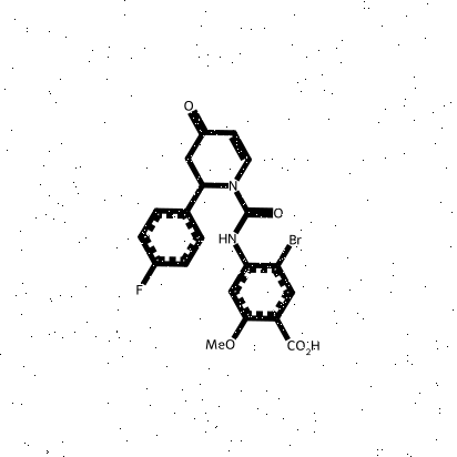 COc1cc(NC(=O)N2C=CC(=O)CC2c2ccc(F)cc2)c(Br)cc1C(=O)O